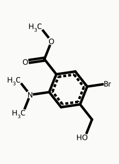 COC(=O)c1cc(Br)c(CO)cc1N(C)C